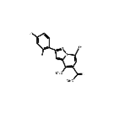 CCc1cc(C(=O)OC)c(OC)c2cc(-c3ccc(Br)cc3F)nn12